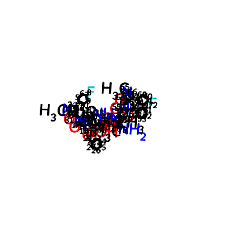 CN1C[C@H](c2ccc(F)cc2)[C@]2(CCCN(C(=O)[C@@H](COCc3ccccc3)N(CC(C)(C)N)C(=O)CC(O)C(=O)OC(N[C@H](COCc3ccccc3)C(=O)N3CCC[C@]4(C3)C(=O)N(C)C[C@@H]4c3ccc(F)cc3)C(C)(C)N)C2)C1=O